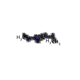 CC1(C)c2ccccc2-c2ccc(-n3c4ccccc4c4cc(-c5ccc6c(c5)c5ccccc5n6-c5ccc6c(c5)C(c5ccccc5)(c5ccccc5)c5cc(-c7nc(-n8c9ccccc9c9cc(-c%10ccc%11c(c%10)c%10ccccc%10n%11-c%10ccc%11c(c%10)C(C)(C)c%10ccccc%10-%11)ccc98)nc8ccccc78)ccc5-6)ccc43)cc21